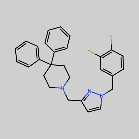 Fc1ccc(Cn2ccc(CN3CCC(c4ccccc4)(c4ccccc4)CC3)n2)cc1F